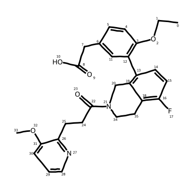 CCOc1ccc(CC(=O)O)cc1-c1ccc(F)c2c1CN(C(=O)CCc1ncccc1OC)CC2